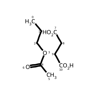 CCCOC(C)=O.O=C(O)CCC(=O)O